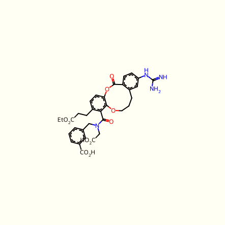 CCOC(=O)CCc1ccc2c(c1C(=O)N(CC(=O)O)Cc1cccc(C(=O)O)c1)OCCCc1cc(NC(=N)N)ccc1C(=O)O2